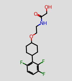 O=C(CO)NCCOC1CCC(c2c(F)ccc(F)c2F)CC1